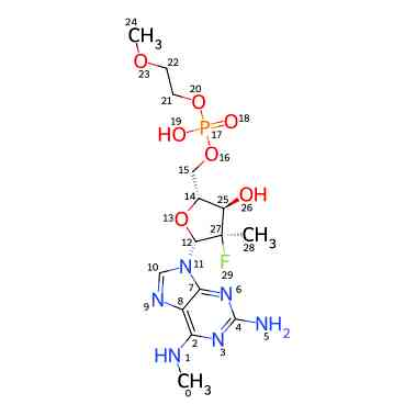 CNc1nc(N)nc2c1ncn2[C@@H]1O[C@H](COP(=O)(O)OCCOC)[C@@H](O)[C@@]1(C)F